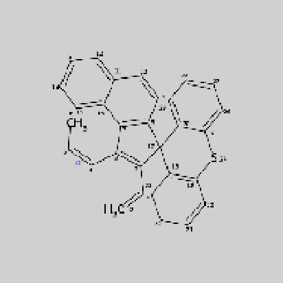 C=CC1=C(/C=C\C)c2c(ccc3ccccc23)C12C1=C(C=CCC1)Sc1ccccc12